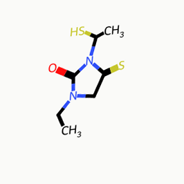 CCN1CC(=S)N(C(C)S)C1=O